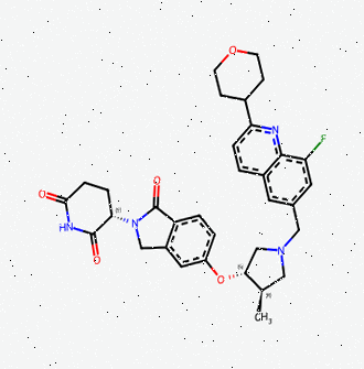 C[C@@H]1CN(Cc2cc(F)c3nc(C4CCOCC4)ccc3c2)C[C@H]1Oc1ccc2c(c1)CN([C@H]1CCC(=O)NC1=O)C2=O